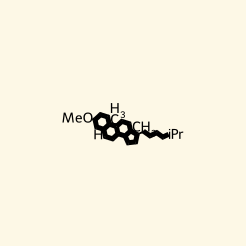 CO[C@H]1CCC2(C)C3CCC4(C)C(CC[C@@H]4CCCCC(C)C)C3CC[C@H]2C1